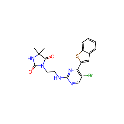 CC1(C)NC(=O)N(CCNc2ncc(Br)c(-c3cc4ccccc4s3)n2)C1=O